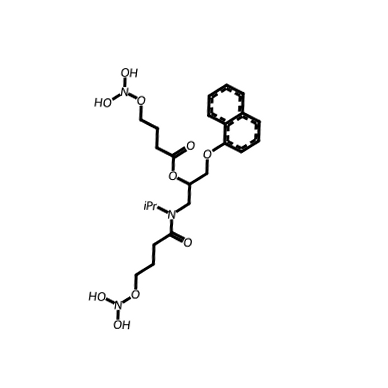 CC(C)N(CC(COc1cccc2ccccc12)OC(=O)CCCON(O)O)C(=O)CCCON(O)O